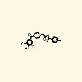 COc1c(Cl)cc(C(=O)N2CCN(Cc3nc(-c4ccc(C)cc4)no3)CC2)cc1Cl